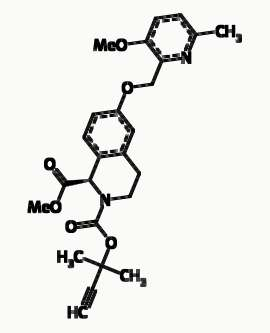 C#CC(C)(C)OC(=O)N1CCc2cc(OCc3nc(C)ccc3OC)ccc2[C@@H]1C(=O)OC